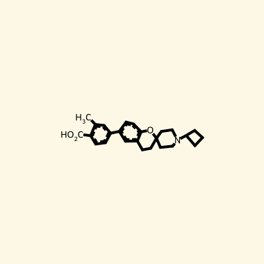 Cc1cc(-c2ccc3c(c2)CCC2(CCN(C4CCC4)CC2)O3)ccc1C(=O)O